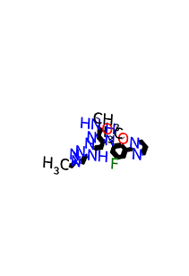 CCn1cc(Nc2cc(Nc3cc(F)cc(-c4ncccn4)c3OC)c(C(=O)NC)nn2)nn1